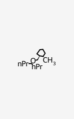 CCCC(CCC)OC[C@H]1CCCC[C@H]1C